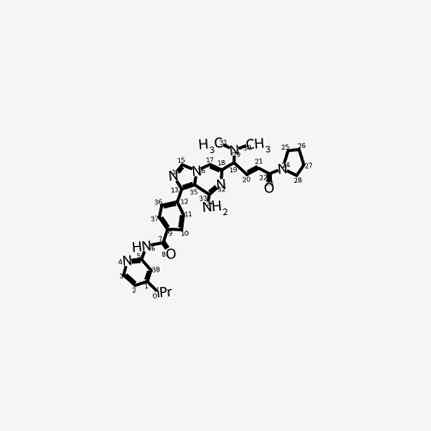 CC(C)c1ccnc(NC(=O)c2ccc(-c3ncn4cc(C(/C=C/C(=O)N5CCCC5)N(C)C)nc(N)c34)cc2)c1